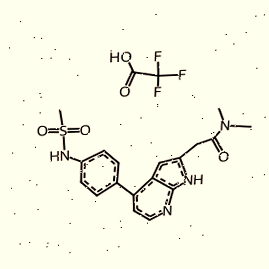 CN(C)C(=O)Cc1cc2c(-c3ccc(NS(C)(=O)=O)cc3)ccnc2[nH]1.O=C(O)C(F)(F)F